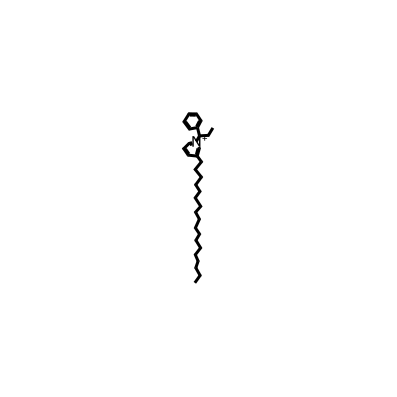 CCCCCCCCCCCCCCCCCCc1ccc[n+](C(CC)c2ccccc2)c1